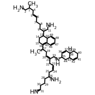 CC(CN)C/C=C/CCCC(CN)C1CCC(C(C)C/C=C(/C/C=C\CC(N)CCCC=N)CNC2C=C[C@H]3CCC=CC3C2)=C2C=CC=CC21